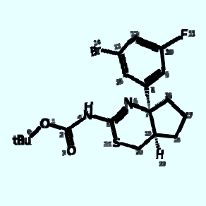 CC(C)(C)OC(=O)NC1=N[C@@]2(c3cc(F)cc(Br)c3)CCC[C@H]2CS1